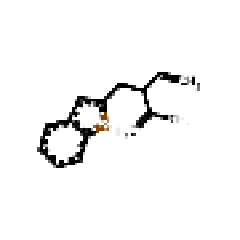 C=CC(Cc1cc2ccccc2s1)C(=C)C